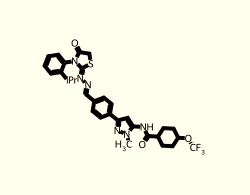 CC(C)c1ccccc1N1C(=O)CSC1=NN=Cc1ccc(-c2cc(NC(=O)C3CCC(OC(F)(F)F)CC3)n(C)n2)cc1